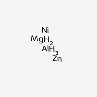 [AlH3].[MgH2].[Ni].[Zn]